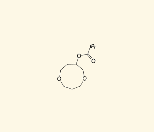 CC(C)C(=O)OC1CCOCCCOC1